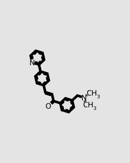 CN(C)Cc1cccc(C(=O)C=Cc2ccc(-c3ccccn3)cc2)c1